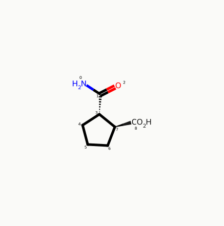 NC(=O)[C@H]1CCC[C@@H]1C(=O)O